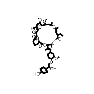 CCC1/C=C(\C)CC(C)CC(OC)C2OC(O)(C(=O)C(=O)N3CCCCC3C(=O)OC(C(C)=CC3CCC(OCC(O)c4ccc(O)cc4)C(OC)C3)C(C)CCC1=O)C(C)CC2OC